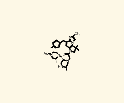 CC(=O)N1CCN(C[C@H]2CN[C@H](C)CN2CC(=O)N2CC(C)(C)c3c2cc(Cc2ccc(F)cc2)c2nc(C(F)(F)F)cn32)[C@H](C)C1